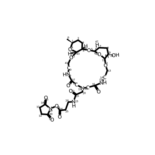 C[C@H]1CC[C@@H]2O[C@H]3CC[C@H](O)[C@H](OCCNC(=O)CN(CC(=O)NCCC(=O)ON4C(=O)CCC4=O)CC(=O)NCCO[C@@H]2O1)O3